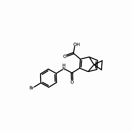 O=C(O)C1=C(C(=O)Nc2ccc(Br)cc2)C2C=CC1C21CC1